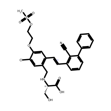 CS(=O)(=O)OCCOc1cc(/C=C/c2cccc(-c3ccccc3)c2C#N)c(CN[C@@H](CO)C(=O)O)cc1Cl